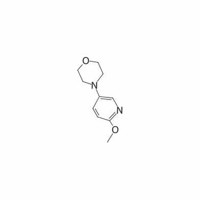 COc1ccc(N2CCOCC2)cn1